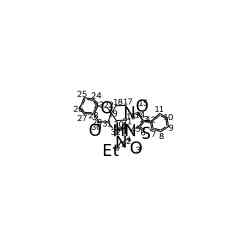 CCNC(=O)Nc1sc2ccccc2c1C(=O)N1CCC2(CC1)Oc1ccccc1C(=O)C2C